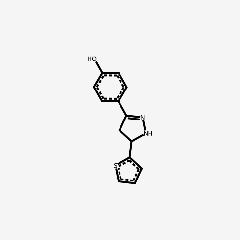 Oc1ccc(C2=NNC(c3cccs3)C2)cc1